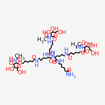 CC(=O)NC1C(OCCCCCC(=O)NCCCCC(NC(=O)CCCCCOC2OC(CO)C(O)C(O)C2NC(C)=O)C(=O)NC(CCCCNC(=O)CCCCCOC2OC(CO)C(O)C(O)C2NC(C)=O)C(=O)NCCCCCC(N)=O)OC(CO)C(O)C1O